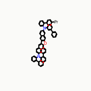 CC(C)c1ccc(-c2ccccc2N(c2cccc(-c3ccccc3)c2)c2ccc3cc4c(cc3c2)oc2cc3cc(N(c5ccccc5-c5ccccc5)c5ccccc5-c5ccccc5)ccc3cc24)cc1